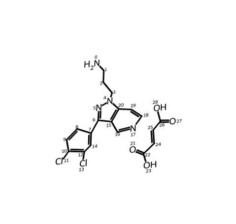 NCCCn1nc(-c2ccc(Cl)c(Cl)c2)c2cnccc21.O=C(O)C=CC(=O)O